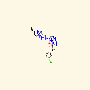 O=C(Nc1nccc(NCc2cn3cc(C4CC4)ccc3n2)n1)[C@H]1C[C@@H]1c1cccc(Cl)c1